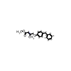 COC(=O)/C=C(\C)COc1ccc(Cc2ccccc2)cc1